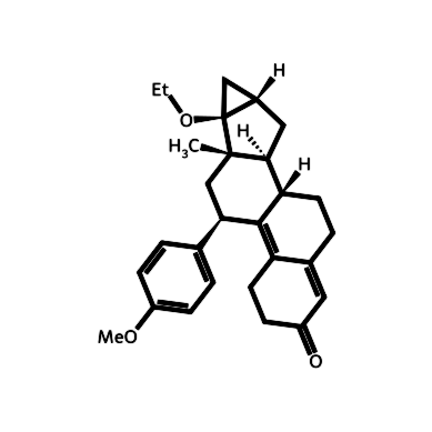 CCO[C@@]12C[C@@H]1C[C@H]1[C@@H]3CCC4=CC(=O)CCC4=C3[C@@H](c3ccc(OC)cc3)C[C@@]12C